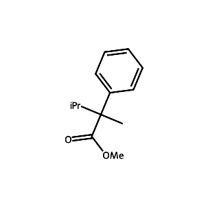 COC(=O)C(C)(c1ccccc1)C(C)C